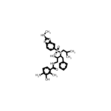 CNc1nc2ccc(S(=O)(=O)N(CC(C)C)C(Cc3ccccc3)C(O)CNC(=O)c3ccc(N)c(O)c3C)cc2s1